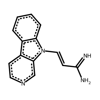 N=C(N)/C=C/n1c2ccccc2c2ccncc21